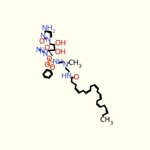 CC/C=C\C/C=C\C/C=C\C/C=C\C/C=C\C/C=C\CCC(=O)NCCN(C)CCNP(=O)(OC[C@@]1(N=[N+]=[N-])O[C@@H](n2ccc(N)nc2=O)[C@H](O)[C@@H]1O)Oc1ccccc1